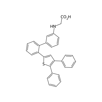 O=C(O)CNc1cccc(-c2ccccc2-c2cc(-c3ccccc3)c(-c3ccccc3)s2)c1